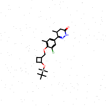 Cc1cc(C2=NNC(=O)CC2C)cc(Cl)c1OCC1CCC1O[Si](C)(C)C(C)(C)C